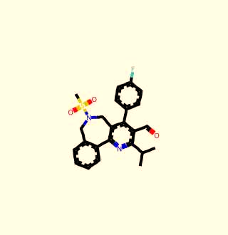 CC(C)c1nc2c(c(-c3ccc(F)cc3)c1C=O)CN(S(C)(=O)=O)Cc1ccccc1-2